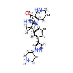 CN1CCC(n2cc(-c3cccc(C4(c5nc6c(c(=O)[nH]5)CNCCC6)CC4)c3)cn2)CC1